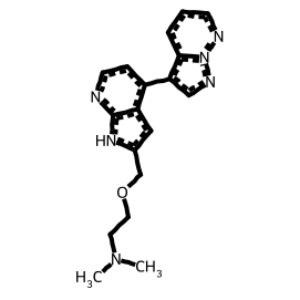 CN(C)CCOCc1cc2c(-c3cnn4ncccc34)ccnc2[nH]1